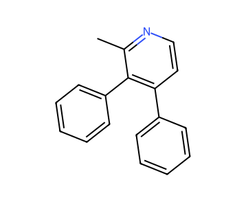 Cc1nccc(-c2ccccc2)c1-c1ccccc1